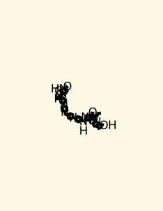 C=CCn1c(=O)c2cnc(Nc3ccc(N4CCC(CN5CCN(c6ccc7c(N8CCC(=O)NC8=O)nn(C)c7c6)CC5)CC4)cc3)nc2n1-c1ccc2c(n1)[C@@](C)(O)CC2